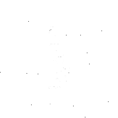 CNC(=O)c1ccc2c(c1)ncn2-c1ccc(OCc2ccc(SC(F)(F)F)cc2)cc1